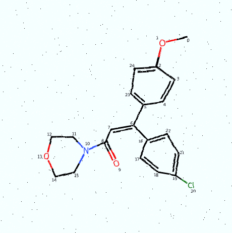 COc1ccc(C(=CC(=O)N2CCOCC2)c2ccc(Cl)cc2)cc1